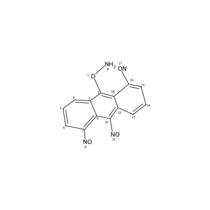 NOc1c2cccc(N=O)c2c(N=O)c2cccc(N=O)c12